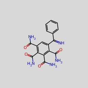 N=C(c1ccccc1)c1cc(C(N)=O)c(C(N)=O)c(C(N)=O)c1C(N)=O